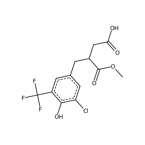 COC(=O)C(CC(=O)O)Cc1cc(Cl)c(O)c(C(F)(F)F)c1